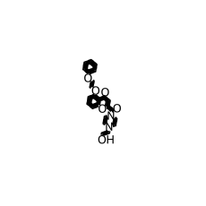 O=C(c1cc(=O)c2c(OCCOc3ccccc3)cccc2o1)N1CCN(CCO)CC1